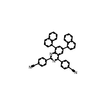 N#Cc1ccc(-c2nc(-c3ccc(C#N)cc3)c3cc(-c4cccc5ccccc45)cc(-c4cccc5ccccc45)c3n2)cc1